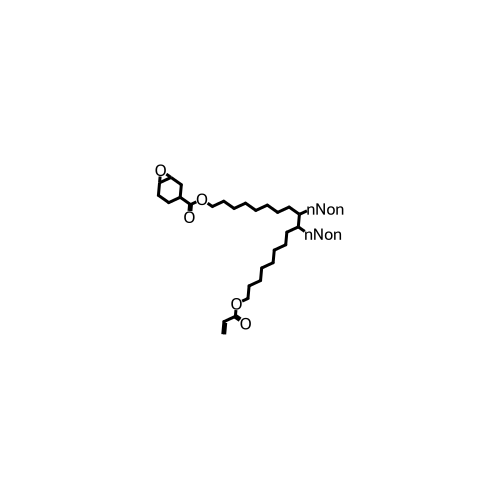 C=CC(=O)OCCCCCCCCC(CCCCCCCCC)C(CCCCCCCCC)CCCCCCCCOC(=O)C1CCC2OC2C1